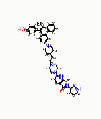 CCC(=C(c1ccc(O)cc1)c1ccc(N2CCC(CCN3CCN(c4ccc5c(n4)CN(C4CCCNC4)C5=O)CC3)CC2)cc1)c1ccccc1